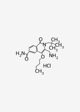 CCCCOc1c(CN)n(CC(C)(C)C)c(=O)c2ccc(C(N)=O)cc12.Cl